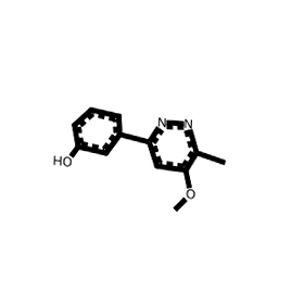 COc1cc(-c2cccc(O)c2)nnc1C